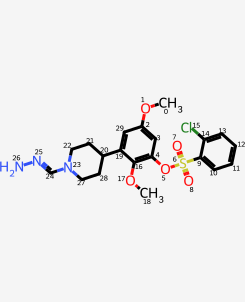 COc1cc(OS(=O)(=O)c2ccccc2Cl)c(OC)c(C2CCN(C=NN)CC2)c1